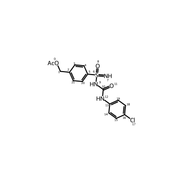 CC(=O)OCc1ccc(S(=N)(=O)NC(=O)Nc2ccc(Cl)cc2)cc1